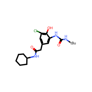 CC(C)(C)NC(=O)Nc1cc(CC(=O)NC2CCCCC2)cc(Cl)c1O